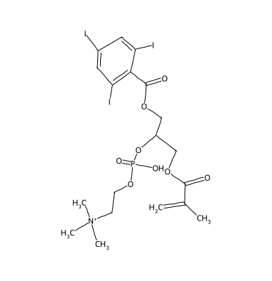 C=C(C)C(=O)OCC(COC(=O)c1c(I)cc(I)cc1I)OP(=O)(O)OCC[N+](C)(C)C